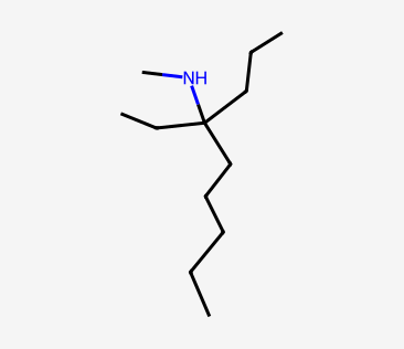 CCCCCC(CC)(CCC)NC